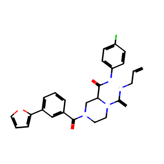 C=CCNC(=C)N1CCN(C(=O)c2cccc(-c3ccco3)c2)CC1C(=O)Nc1ccc(Cl)cc1